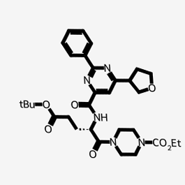 CCOC(=O)N1CCN(C(=O)[C@H](CCC(=O)OC(C)(C)C)NC(=O)c2cc(C3CCOC3)nc(-c3ccccc3)n2)CC1